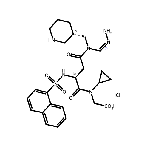 Cl.N/N=C\N(C[C@H]1CCCNC1)C(=O)C[C@H](NS(=O)(=O)c1cccc2ccccc12)C(=O)N(CC(=O)O)C1CC1